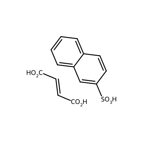 O=C(O)/C=C/C(=O)O.O=S(=O)(O)c1ccc2ccccc2c1